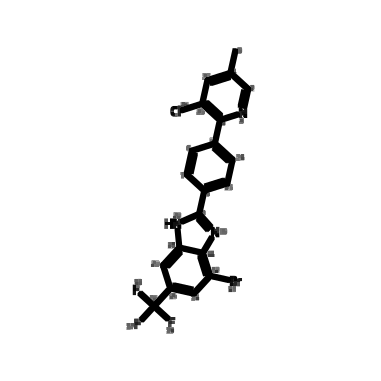 Cc1cnc(-c2ccc(-c3nc4c(Br)cc(C(F)(F)F)cc4[nH]3)cc2)c(Cl)c1